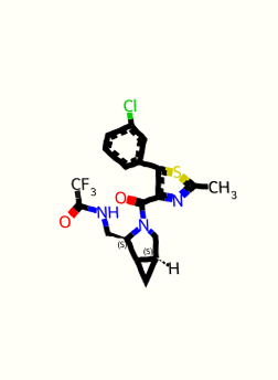 Cc1nc(C(=O)N2C[C@H]3CC3[C@H]2CNC(=O)C(F)(F)F)c(-c2cccc(Cl)c2)s1